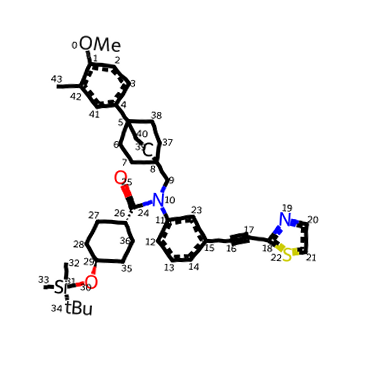 COc1ccc(C23CCC(CN(c4cccc(C#Cc5nccs5)c4)C(=O)[C@H]4CC[C@H](O[Si](C)(C)C(C)(C)C)CC4)(CC2)CC3)cc1C